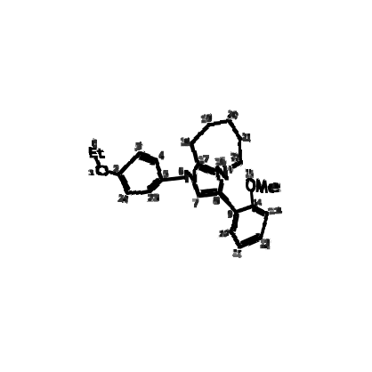 CCOc1ccc(-n2cc(-c3ccccc3OC)[n+]3c2CCCCC3)cc1